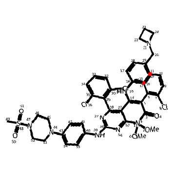 CO[N+]1(OC)C(=O)C(c2c(Cl)cccc2Cl)=C(Nc2ccc(CN3CCC3)cc2)c2c(-c3c(Cl)cccc3Cl)nc(Nc3ccc(N4CCN(S(C)(=O)=O)CC4)cc3)nc21